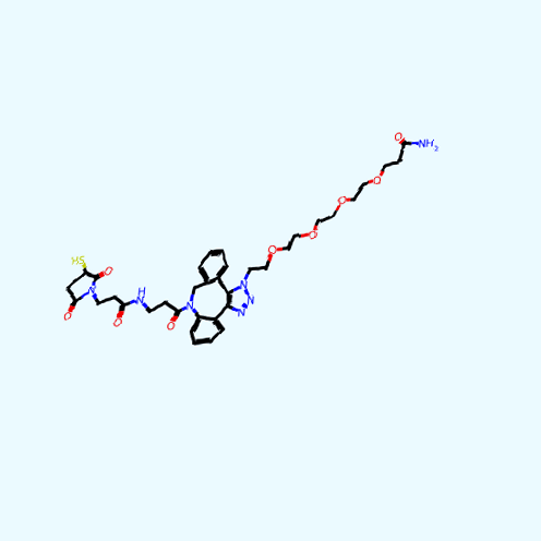 NC(=O)CCOCCOCCOCCOCCn1nnc2c1-c1ccccc1CN(C(=O)CCNC(=O)CCN1C(=O)CC(S)C1=O)c1ccccc1-2